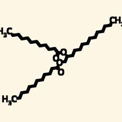 CCCCCCCCCCCCC(COC(=O)CCCCCCCCCCC)OC(=O)CCCCCCCCCCC